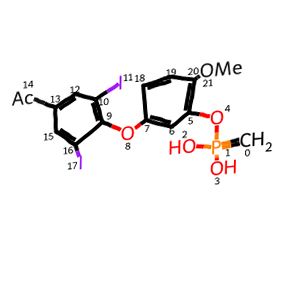 C=P(O)(O)Oc1cc(Oc2c(I)cc(C(C)=O)cc2I)ccc1OC